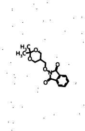 CC1(C)OCC(CON2C(=O)c3ccccc3C2=O)CO1